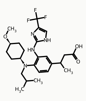 CO[C@H]1CC[C@@H](N(CC(C)C)c2ccc(C(C)CC(=O)O)cc2Nc2nc(C(F)(F)F)c[nH]2)CC1